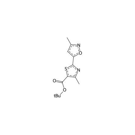 Cc1cc(-c2nc(C)c(C(=O)OC(C)(C)C)s2)on1